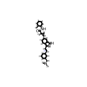 Cc1ccccc1NC(=O)[C@]1(C)C[C@H]1c1ccc2c(/C=C/c3cccc(CN(C)C)c3)n[nH]c2c1